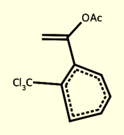 C=C(OC(C)=O)c1ccccc1C(Cl)(Cl)Cl